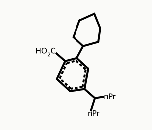 CCCC(CCC)c1ccc(C(=O)O)c(C2CCCCC2)c1